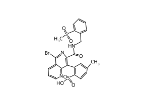 Cc1ccc(S(=O)(=O)O)c(-c2c(C(=O)NCc3ccccc3S(C)(=O)=O)nc(Br)c3cccnc23)c1